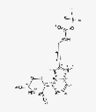 Cn1c(C#CCNC(=O)OC(C)(C)C)nc2c(C3CCC(=O)NC3=O)cccc21